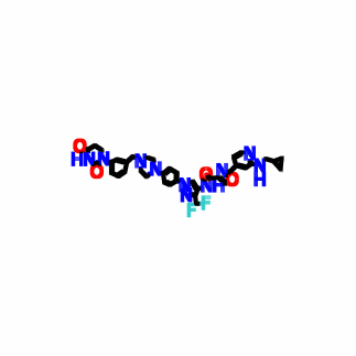 O=C1CCN(c2cccc(CN3CCN(c4ccc(-n5cc(NC(=O)c6coc(-c7ccnc(NCC8CC8)c7)n6)c(C(F)F)n5)cc4)CC3)c2)C(=O)N1